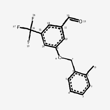 Cc1ccccc1COc1cc(C=O)cc(C(F)(F)F)c1